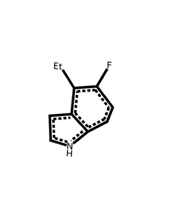 CCc1c(F)ccc2[nH]ccc12